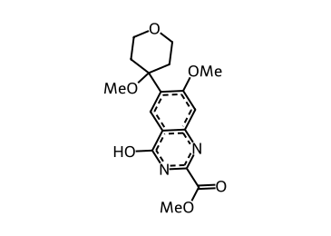 COC(=O)c1nc(O)c2cc(C3(OC)CCOCC3)c(OC)cc2n1